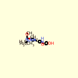 COCCc1cc(N2CCN(CC[C@H]3CC[C@@H](NC(=O)[C@H]4CC[C@@H](O)CC4)CC3)C[C@H]2C)nc(C(C)(C)C)n1